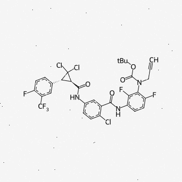 C#CCN(C(=O)OC(C)(C)C)c1c(F)ccc(NC(=O)c2cc(NC(=O)[C@H]3[C@H](c4ccc(F)c(C(F)(F)F)c4)C3(Cl)Cl)ccc2Cl)c1F